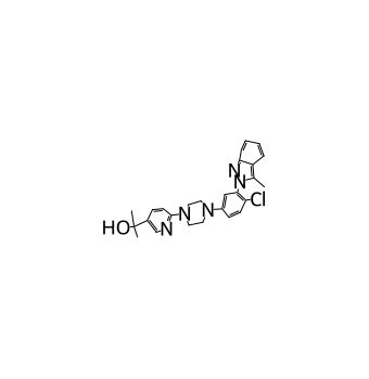 Cc1c2ccccc2nn1-c1cc(N2CCN(c3ccc(C(C)(C)O)cn3)CC2)ccc1Cl